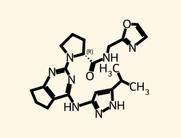 CC(C)c1cc(Nc2nc(N3CCC[C@@H]3C(=O)NCc3ncco3)nc3c2CCC3)n[nH]1